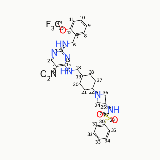 O=[N+]([O-])c1cnc(NCc2ccccc2OC(F)(F)F)nc1NCC1CCC(N2CC(NS(=O)(=O)c3ccccc3)C2)CC1